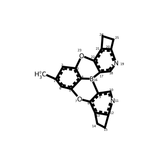 Cc1cc2c3c(c1)Oc1c(cnc4c1CC4)B3c1cnc3c(c1O2)CC3